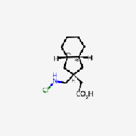 O=C(O)C[C@]1(CNCl)C[C@H]2CCCC[C@H]2C1